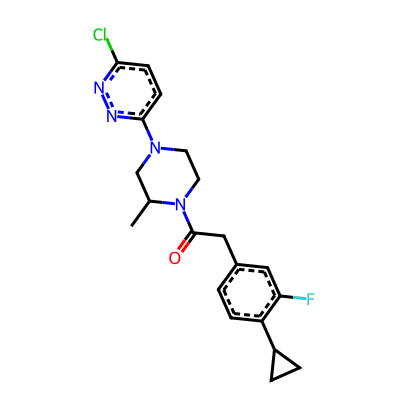 CC1CN(c2ccc(Cl)nn2)CCN1C(=O)Cc1ccc(C2CC2)c(F)c1